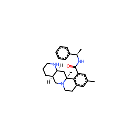 Cc1cc2c(c(C(=O)N[C@H](C)c3ccccc3)c1)[C@@H]1C[C@@H]3NCCC[C@@H]3CN1CC2